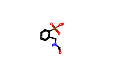 O=[C]NCc1ccccc1S(=O)(=O)O